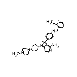 COc1ncccc1CNc1ccc(-c2nn([C@H]3CC[C@H](N4CCN(C)CC4)CC3)c3ncnc(N)c23)cc1